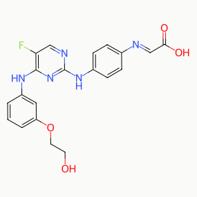 O=C(O)C=Nc1ccc(Nc2ncc(F)c(Nc3cccc(OCCO)c3)n2)cc1